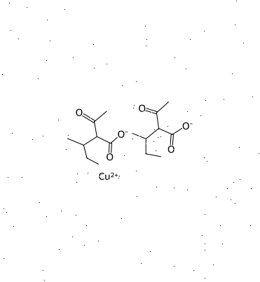 CCC(C)C(C(C)=O)C(=O)[O-].CCC(C)C(C(C)=O)C(=O)[O-].[Cu+2]